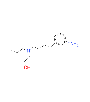 CCCN(CCO)CCCCc1cccc(N)c1